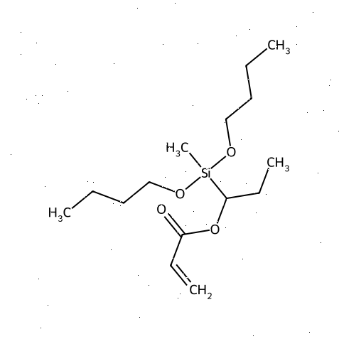 C=CC(=O)OC(CC)[Si](C)(OCCCC)OCCCC